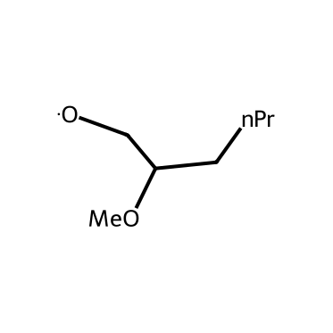 CCCCC(C[O])OC